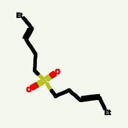 CCC=CCCS(=O)(=O)CCC=CCC